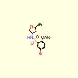 COc1ccc(Br)cc1S(=O)(=O)N[C@H]1COC(C(C)C)C1